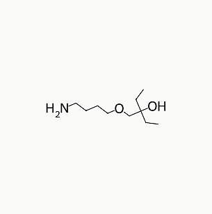 CCC(O)(CC)COCCCCN